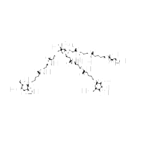 CC(C)(C)NC(COCCC(=O)NCCCNC(=O)CCCCOC1OC(CO)C(O)C(O)C1O)(COCCC(=O)NCCCNC(=O)CCCCOC1OC(CO)C(O)C(O)C1O)COCCC(=O)NCCCNC(=O)CCCCOC(O)[C@H](O)CO